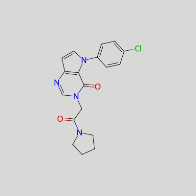 O=C(Cn1cnc2ccn(-c3ccc(Cl)cc3)c2c1=O)N1CCCC1